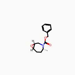 C[C@@H]1CC[C@@H]2O[C@H]2CN1C(=O)OCc1ccccc1